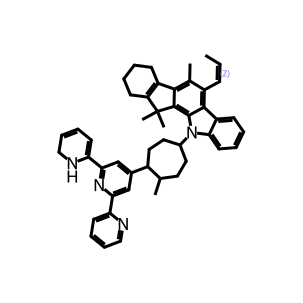 C/C=C\c1c(C)c2c(c3c1c1ccccc1n3C1CCC(C)C(c3cc(C4=CC=CCN4)nc(-c4ccccn4)c3)CC1)C(C)(C)C1=C2CCCC1